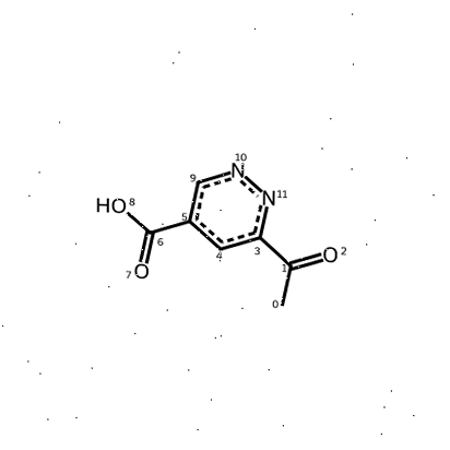 CC(=O)c1cc(C(=O)O)cnn1